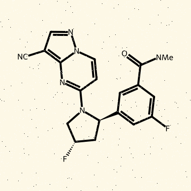 CNC(=O)c1cc(F)cc([C@H]2C[C@H](F)CN2c2ccn3ncc(C#N)c3n2)c1